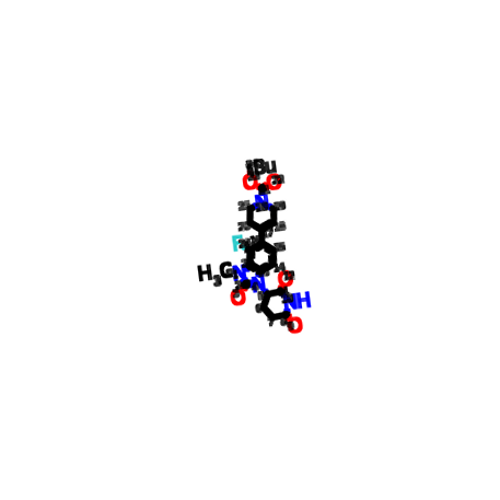 Cn1c(=O)n(C2CCC(=O)NC2=O)c2ccc(C3=CCN(C(=O)OC(C)(C)C)CC3)c(F)c21